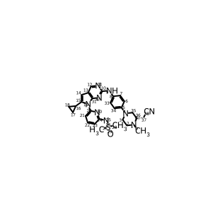 CN1CCN(c2ccc(Nc3ncc4cc(C5CC5)n(-c5cccc(N=S(C)(C)=O)n5)c4n3)cc2)C[C@@H]1CC#N